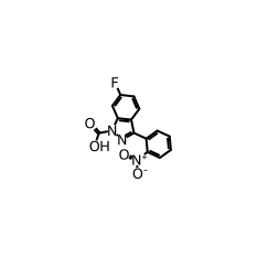 O=C(O)n1nc(-c2ccccc2[N+](=O)[O-])c2ccc(F)cc21